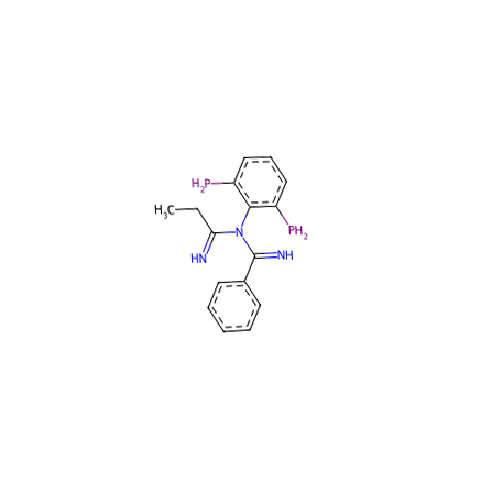 CCC(=N)N(C(=N)c1ccccc1)c1c(P)cccc1P